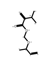 C=CC(C)OCOC(=O)C(=C)C(C)C